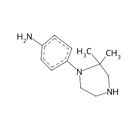 CC1(C)CNCCN1c1ccc(N)cc1